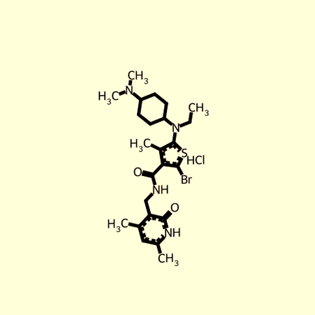 CCN(c1sc(Br)c(C(=O)NCc2c(C)cc(C)[nH]c2=O)c1C)C1CCC(N(C)C)CC1.Cl